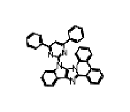 c1ccc(-c2cc(-c3ccccc3)nc(-n3c4ccccc4c4nc5c6ccccc6c6ccccc6n5c43)n2)cc1